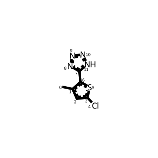 Cc1cc(Cl)sc1-c1nnn[nH]1